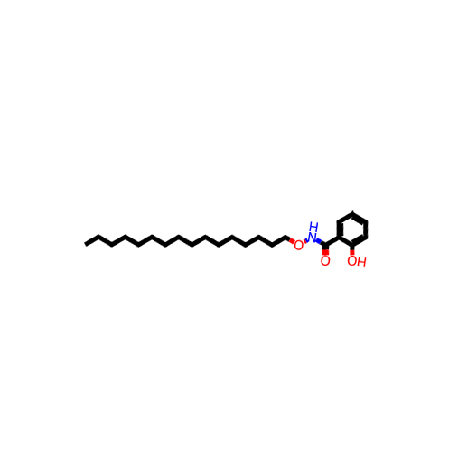 CCCCCCCCCCCCCCCCONC(=O)c1c[c]ccc1O